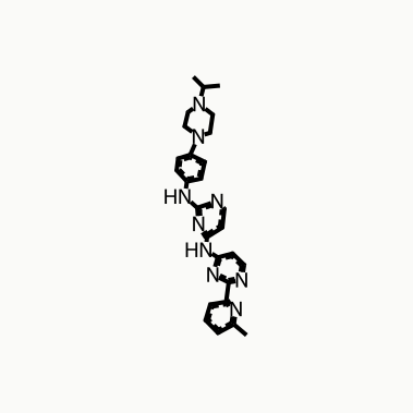 Cc1cccc(-c2nccc(Nc3ccnc(Nc4ccc(N5CCN(C(C)C)CC5)cc4)n3)n2)n1